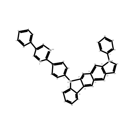 c1ccc(-c2cnc(-c3ccc(-n4c5ccccc5c5cc6cc7ccn(-c8ccccc8)c7cc6cc54)cc3)nc2)cc1